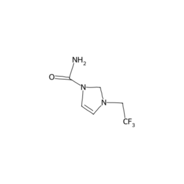 NC(=O)N1C=CN(CC(F)(F)F)C1